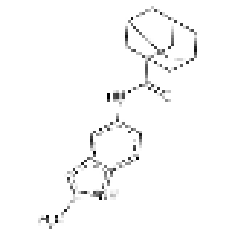 Cc1cc2cc(NC(=O)C34CC5CC(CC(C5)C3)C4)ccc2[nH]1